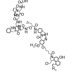 COc1cc2c(cc1OCCCCC(=O)N1CC(CCl)c3c1cc(O)c1cccc(C)c31)N=C[C@@H]1Cc3ccc(NC(=O)C(CC4CC4)OCNC(=O)CNC(=O)[C@H](Cc4ccccc4)NC(=O)CNC(=O)CNC(=O)C(CNCC(=O)O)N4C(=O)C=CC4=O)cc3N1C2=O